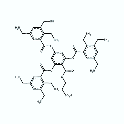 BCc1cc(CB)c(CB)c(C(=O)Oc2cc(OC(=O)c3cc(CB)cc(CB)c3CB)c(C(=O)OCCS(=O)(=O)O)c(OC(=O)c3cc(CB)cc(CB)c3CB)c2)c1